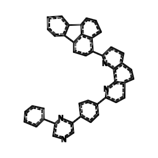 c1ccc(-c2cncc(-c3ccc(-c4ccc5ccc6ccc(-c7ccc8c9c(cccc79)-c7ccccc7-8)nc6c5n4)cc3)n2)cc1